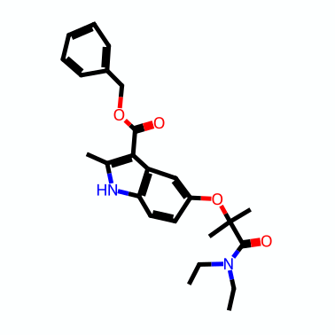 CCN(CC)C(=O)C(C)(C)Oc1ccc2[nH]c(C)c(C(=O)OCc3ccccc3)c2c1